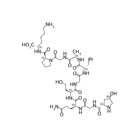 CC(C)C[C@H](NC(=O)CNC(=O)[C@H](CCO)NC(=O)[C@H](CCC(N)=O)NC(=O)CNC(=O)[C@@H]1C[C@@H](O)CN1)C(=O)N[C@@H](C)C(=O)NCC(=O)N1CCC[C@H]1C(=O)N[C@@H](CCCCN)C(=O)O